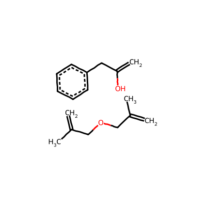 C=C(C)COCC(=C)C.C=C(O)Cc1ccccc1